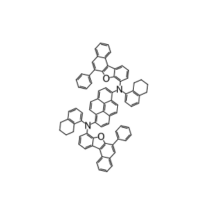 c1ccc(-c2cc3ccccc3c3c2oc2c(N(c4cccc5c4CCCC5)c4ccc5ccc6c(N(c7cccc8c7CCCC8)c7cccc8c7oc7c(-c9ccccc9)cc9ccccc9c78)ccc7ccc4c5c76)cccc23)cc1